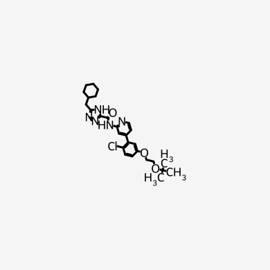 CC(C)(C)OCCOc1ccc(Cl)c(-c2ccnc(NC(=O)c3nnc(CC4CCCCC4)[nH]3)c2)c1